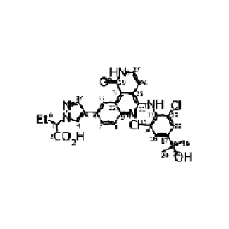 CCC(C(=O)O)n1cc(-c2ccc3nc(Nc4c(Cl)cc(C(C)(C)O)cc4Cl)c4cc[nH]c(=O)c4c3c2)cn1